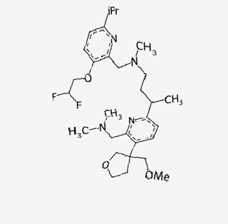 COCC1(c2ccc(C(C)CCN(C)Cc3nc(C(C)C)ccc3OCC(F)F)nc2CN(C)C)CCOC1